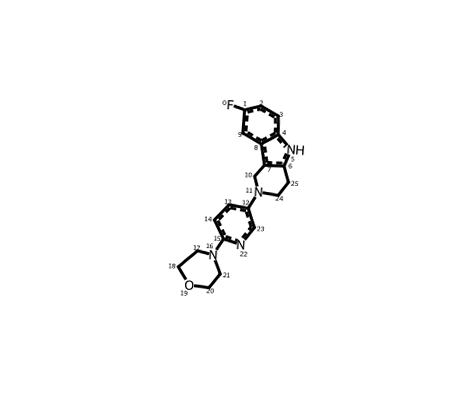 Fc1ccc2[nH]c3c(c2c1)CN(c1ccc(N2CCOCC2)nc1)CC3